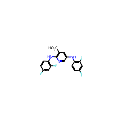 O=C(O)c1cc(Nc2ccc(F)cc2F)cnc1Nc1ccc(F)cc1F